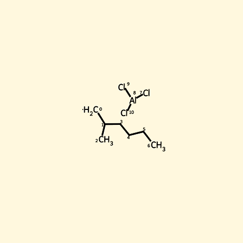 [CH2]C(C)CCCC.[Cl][Al]([Cl])[Cl]